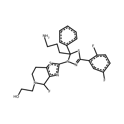 NCCCC1(c2ccccc2)SC(c2cc(F)ccc2F)=NN1c1nc2c(s1)CCN(CCO)C2F